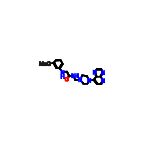 COc1cccc(NCC(=O)NCN2CCN(c3ccnc4nccnc34)CC2)c1